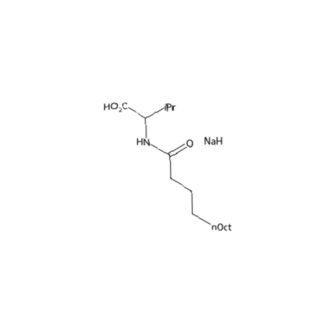 CCCCCCCCCCCC(=O)NC(C(=O)O)C(C)C.[NaH]